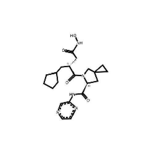 O=C(C[C@@H](CC1CCCC1)C(=O)N1CC2(CC2)C[C@H]1C(=O)Nc1cnccn1)NO